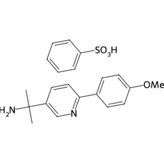 COc1ccc(-c2ccc(C(C)(C)N)cn2)cc1.O=S(=O)(O)c1ccccc1